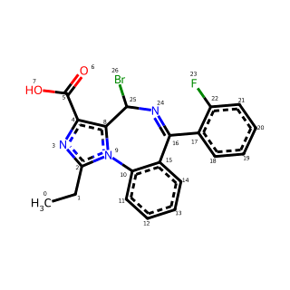 CCc1nc(C(=O)O)c2n1-c1ccccc1C(c1ccccc1F)=NC2Br